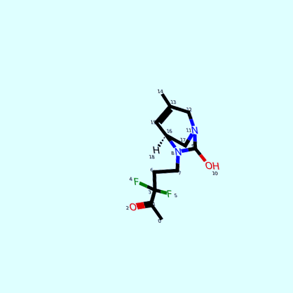 CC(=O)C(F)(F)CCN1C(O)N2CC(C)=C[C@H]1C2